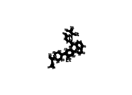 C=C(/C=C\C=C(/C)c1cccc2ccn(-c3ccc(C4CCN(C(=C)C5CC5)CC4)c(CC)c3)c12)NC(CC)=C(C)C